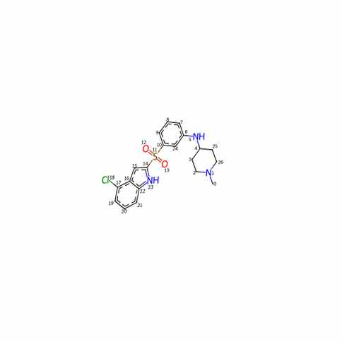 CN1CCC(Nc2cccc(S(=O)(=O)c3cc4c(Cl)cccc4[nH]3)c2)CC1